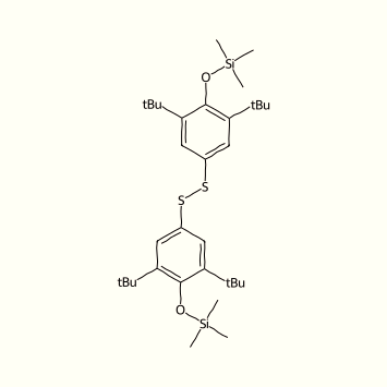 CC(C)(C)c1cc(SSc2cc(C(C)(C)C)c(O[Si](C)(C)C)c(C(C)(C)C)c2)cc(C(C)(C)C)c1O[Si](C)(C)C